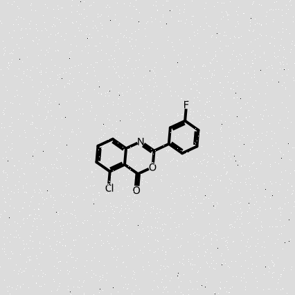 O=c1oc(-c2cccc(F)c2)nc2cccc(Cl)c12